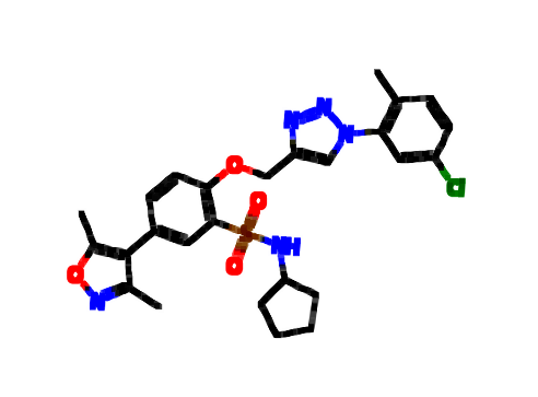 Cc1ccc(Cl)cc1-n1cc(COc2ccc(-c3c(C)noc3C)cc2S(=O)(=O)NC2CCCC2)nn1